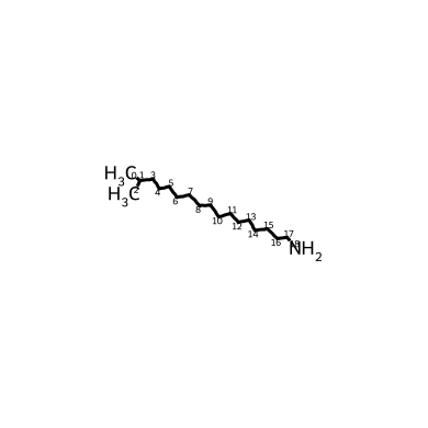 CC(C)CCCCCCCCCCCCCCCN